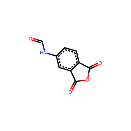 O=CNc1ccc2c(c1)C(=O)OC2=O